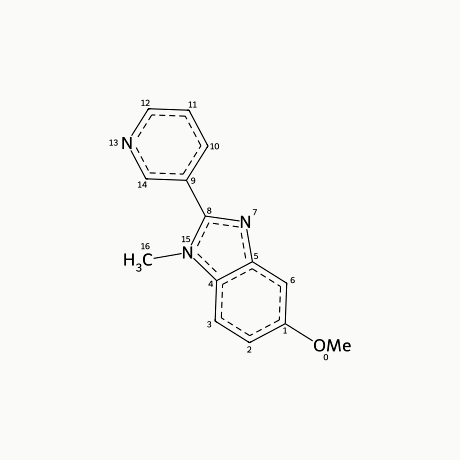 COc1ccc2c(c1)nc(-c1cccnc1)n2C